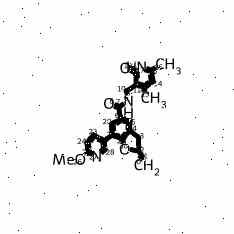 C=CC1Cc2cc(C(=O)NCc3c(C)cc(C)[nH]c3=O)cc(-c3ccc(OC)nc3)c2O1